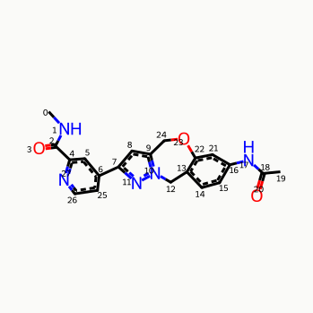 CNC(=O)c1cc(-c2cc3n(n2)Cc2ccc(NC(C)=O)cc2OC3)ccn1